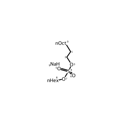 CCCCCCCCCCOS(=O)(=O)OCCCCCC.[NaH]